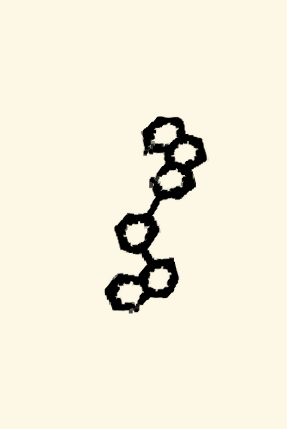 c1cc(-c2ccc3ccc4cccnc4c3n2)cc(-c2cccc3ncccc23)c1